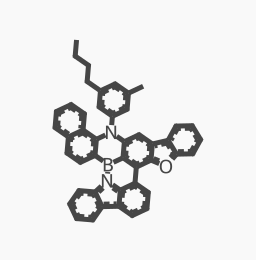 CCCCc1cc(C)cc(N2c3cc4c(oc5ccccc54)c4c3B(c3ccc5ccccc5c32)n2c3ccccc3c3cccc-4c32)c1